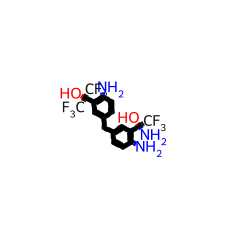 Nc1ccc(Cc2ccc(N)c(C(O)(C(F)(F)F)C(F)(F)F)c2)cc1C(N)(O)C(F)(F)F